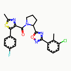 Cc1nc(C(=O)N2CCCC2c2nc(-c3cccc(Cl)c3C)no2)c(-c2ccc(F)cc2)s1